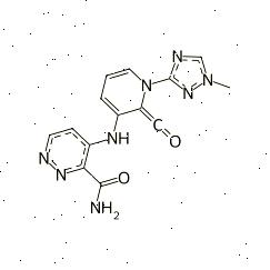 Cn1cnc(N2C=CC=C(Nc3ccnnc3C(N)=O)C2=C=O)n1